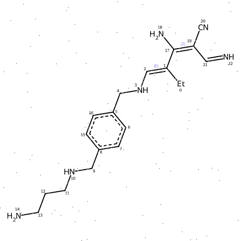 CCC(=C\NCc1ccc(CNCCCN)cc1)/C(N)=C(/C#N)C=N